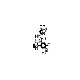 CCOc1cc(-c2ncco2)c(NC(=O)Nc2cc(C(F)(F)F)on2)cc1F